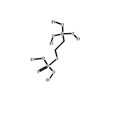 CCO[Si](CCSP(=S)(OCC)OCC)(OCC)OCC